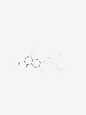 CC(C)(C)n1cc(C(=O)O)c(=O)c2cc(F)c(N3CC(O)C(CN)C3)cc21